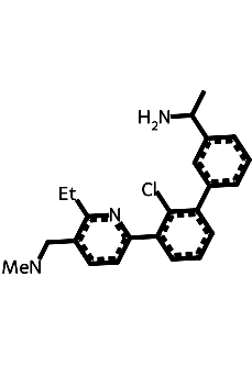 CCc1nc(-c2cccc(-c3cccc(C(C)N)c3)c2Cl)ccc1CNC